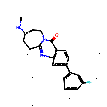 CNC1CCc2nc3cc(-c4cccc(F)c4)ccc3c(=O)n2CC1